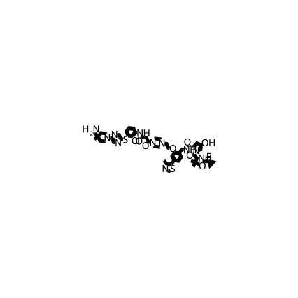 Cc1ncsc1-c1ccc(CNC(=O)[C@@H]2C[C@@H](O)CN2C(=O)[C@@H](NC(=O)C2(F)CC2)C(C)(C)C)c(OCCN2CCN(C(=O)CC(=O)Nc3cccc(Sc4cnc(N5CCC(C)(CN)CC5)cn4)c3Cl)CC2)c1